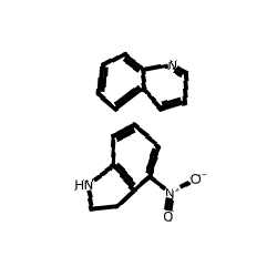 O=[N+]([O-])c1cccc2c1CCN2.c1ccc2ncccc2c1